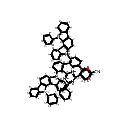 N#Cc1cccc(-c2ccc(-n3c4ccccc4c4c3ccc3c5ccccc5n(-c5ccccc5)c34)c(-c3cccc(-n4c5ccccc5c5c4ccc4c6ccccc6n(-c6ccccc6)c45)c3-c3nc(-c4ccccc4)nc(-c4ccccc4)n3)c2)c1